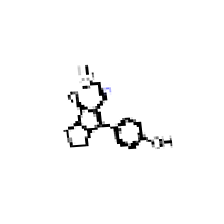 C/C=C\C1=C(c2ccc(O)cc2)C2CCCC2C1=O